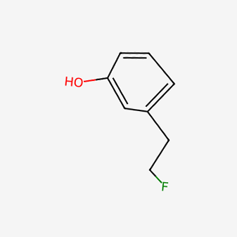 Oc1cccc(CCF)c1